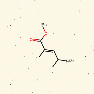 CCC(C)OC(=O)C(C)=CC(C)NC